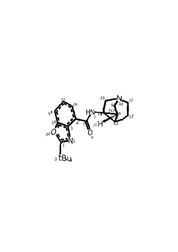 CC(C)(C)c1nc2c(C(=O)N[C@@H]3CN4CCC3CC4)cccc2o1